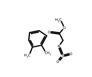 COC(=O)CN=S(=O)=O.Cc1ccccc1C